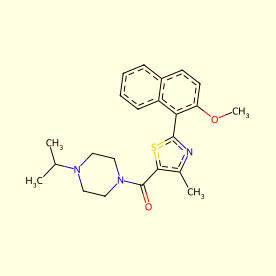 COc1ccc2ccccc2c1-c1nc(C)c(C(=O)N2CCN(C(C)C)CC2)s1